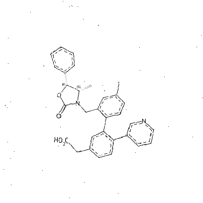 Cc1ccc(-c2cc(CC(=O)O)ccc2-c2cccnc2)c(CN2C(=O)O[C@H](c3ccccc3)[C@@H]2C)c1